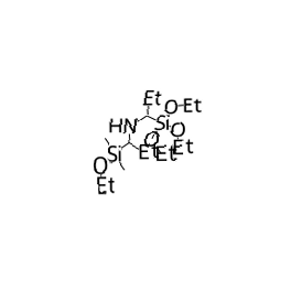 CCO[Si](C)(C)C(CC)NC(CC)[Si](OCC)(OCC)OCC